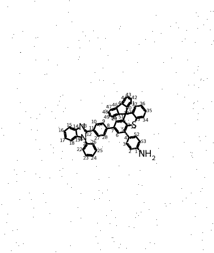 Nc1ccc(-c2cc(-c3ccc(-c4nc5ccccc5n4-c4ccccc4)cc3)cc3c2Sc2ccccc2C32c3ccccc3-c3ccccc32)cc1